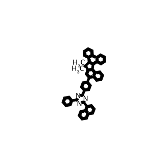 CC1(C)c2cc(-c3ccc(-c4nc(-c5ccccc5)nc(-c5cccc6ccccc56)n4)cc3)c3ccccc3c2-c2c1c1ccccc1c1ccccc21